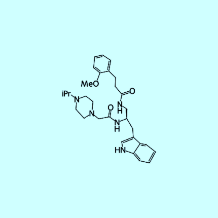 COc1ccccc1CCC(=O)NC[C@@H](Cc1c[nH]c2ccccc12)NC(=O)CN1CCN(C(C)C)CC1